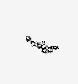 C[C@H]1COCCN1c1cnc(Nc2cc(-c3ccnc(-n4ncn5c6c(cc5c4=O)CC(C)(C)C6)c3CO)cn(C)c2=O)nc1